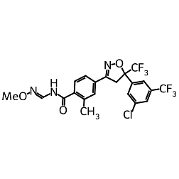 CON=CNC(=O)c1ccc(C2=NOC(c3cc(Cl)cc(C(F)(F)F)c3)(C(F)(F)F)C2)cc1C